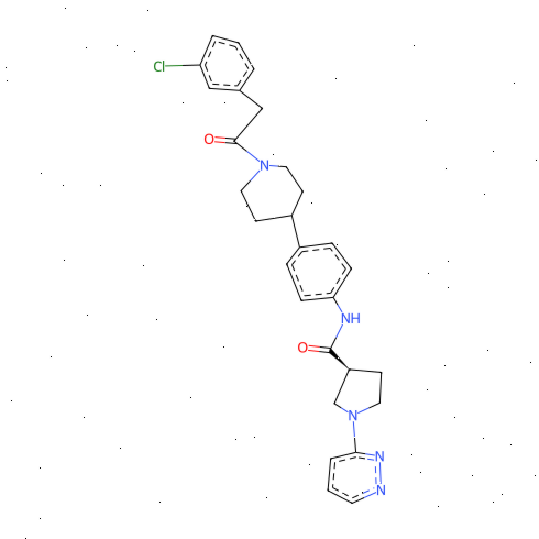 O=C(Nc1ccc(C2CCN(C(=O)Cc3cccc(Cl)c3)CC2)cc1)[C@H]1CCN(c2cccnn2)C1